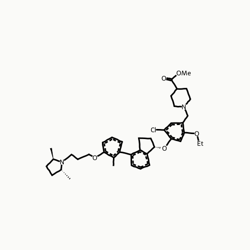 CCOc1cc(O[C@H]2CCc3c(-c4cccc(OCCCN5[C@H](C)CC[C@H]5C)c4C)cccc32)c(Cl)cc1CN1CCC(C(=O)OC)CC1